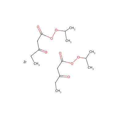 CCC(=O)CC(=O)OOC(C)C.CCC(=O)CC(=O)OOC(C)C.[Zr]